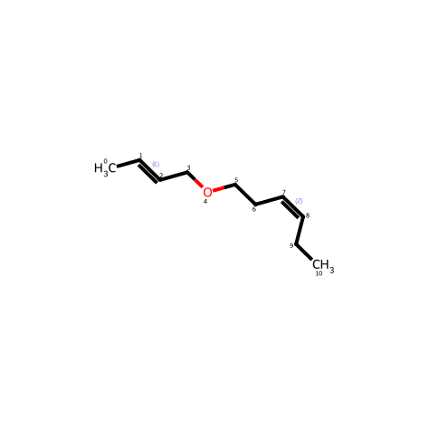 C/C=C/COCC/C=C\CC